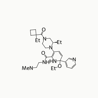 CCOC1(c2cccnc2)C=CC(N2CCN(C(=O)C3(CC)CCC3)C[C@H]2CC)=C(C(=O)NCCNC)N1